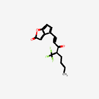 CCCCC(C(=O)C=CC1=CC=C2OC(=O)C=C12)C(F)(F)F